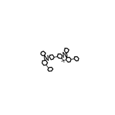 CC1(C)c2ccc(-c3ccccc3)cc2N(c2ccccc2)c2ccc(-c3ccc(N(c4ccccc4)c4cccc(-c5ccccc5)c4)cc3)cc21